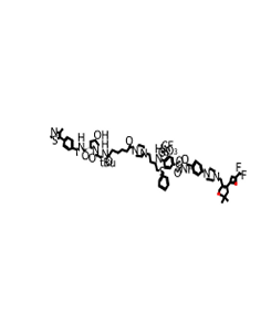 Cc1ncsc1-c1ccc([C@H](C)NC(=O)[C@@H]2C[C@@H](O)CN2C(=O)C(NC(=O)CCCCC(=O)N2CCN(CCC(CSc3ccccc3)Nc3ccc(S(=O)(=O)NC(=O)c4ccc(N5CCN(CC6=C(C78CC(C(F)F)(C7)C8)CC(C)(C)CC6)CC5)cc4)cc3S(=O)(=O)C(F)(F)F)CC2)C(C)(C)C)cc1